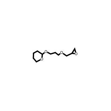 C1CCC(OCCCOCC2CO2)OC1